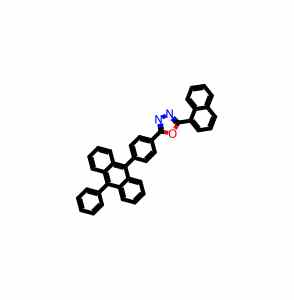 c1ccc(-c2c3ccccc3c(-c3ccc(-c4nnc(-c5cccc6ccccc56)o4)cc3)c3ccccc23)cc1